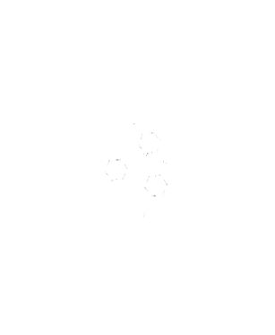 Cc1ccc(Sc2nc(Nc3ccc(P(C)(C)=O)cc3)ncc2C(F)(F)F)c(C)c1